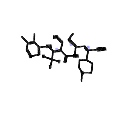 C=C(NC(=C/C)/C=C(/C#N)C1CCN(C)CC1)/C(C=N)=C(/Nc1cncc(C)c1C)C(F)(F)F